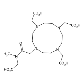 CN(CC(=O)O)C(=O)CN1CCN(CC(=O)O)CCN(CC(=O)O)CCN(CC(=O)O)CC1